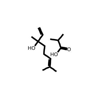 C=CC(C)(O)CCC=C(C)C.CC(C)C(=O)O